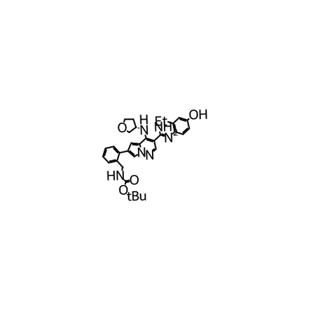 CCc1cc(O)ccc1/N=C(\N)c1cnn2cc(-c3ccccc3CNC(=O)OC(C)(C)C)cc2c1N[C@H]1CCOC1